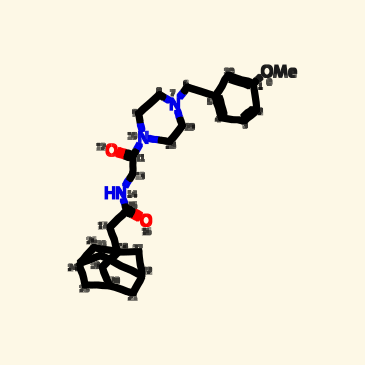 COc1cccc(CN2CCN(C(=O)CNC(=O)CC34CC5CC(CC(C5)C3)C4)CC2)c1